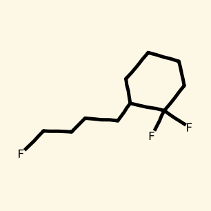 FCCCCC1CCCCC1(F)F